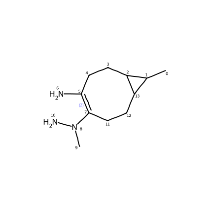 CC1C2CC/C(N)=C(/N(C)N)CCC12